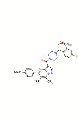 COc1ccc(-c2nc3c(C(=O)N4CCN([C@H](CO)c5ccc(F)cc5OC)CC4)cnn3c(C(F)(F)F)c2C)cc1